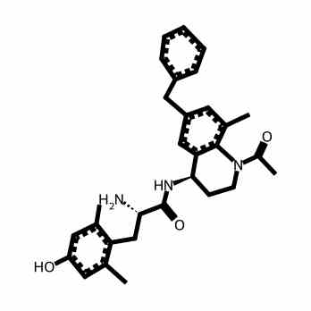 CC(=O)N1CC[C@@H](NC(=O)[C@@H](N)Cc2c(C)cc(O)cc2C)c2cc(Cc3ccccc3)cc(C)c21